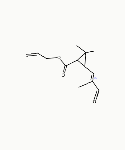 C=CCOC(=O)C1C(/C=C(\C)C=O)C1(C)C